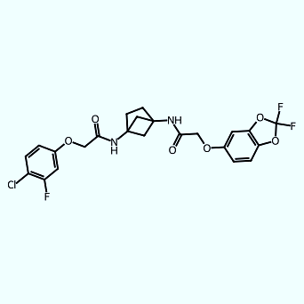 O=C(COc1ccc(Cl)c(F)c1)NC12CCC(NC(=O)COc3ccc4c(c3)OC(F)(F)O4)(C1)C2